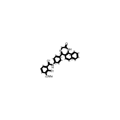 CCc1c(OC)cccc1C(=O)Nc1ccc(C2=NCC(=O)Nc3c2ccc2ccccc32)cc1